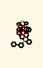 c1ccc(-c2cccc(N(c3ccc(-c4cccc5c4-c4ccccc4C54c5ccccc5Oc5ccccc54)cc3)c3ccccc3-c3ccc4c(c3)-c3ccccc3C43c4ccccc4Oc4ccccc43)c2)cc1